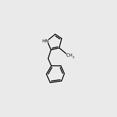 Cc1cc[nH]c1Cc1ccccc1